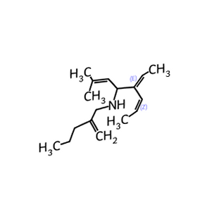 C=C(CCC)CNC(C=C(C)C)C(/C=C\C)=C/C